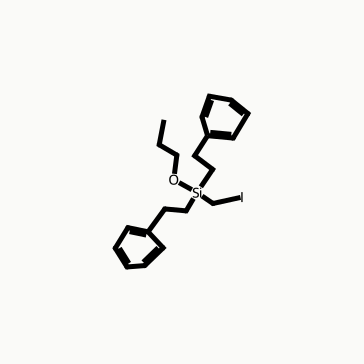 CCCO[Si](CI)(CCc1ccccc1)CCc1ccccc1